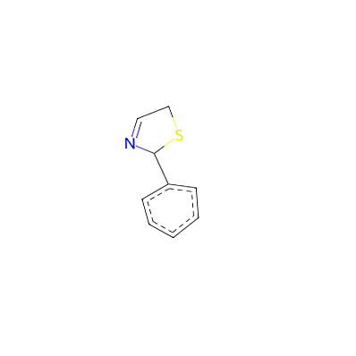 C1=NC(c2ccccc2)SC1